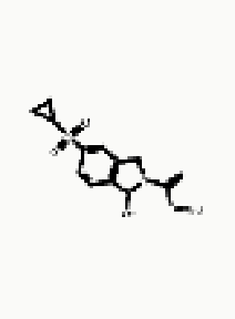 C=C(OC(C)(C)C)N1Cc2cc(S(=O)(=O)C3CC3)ccc2C1O